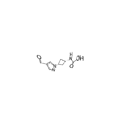 O=Cc1cnn([C@H]2C[C@@H](NC(=O)O)C2)c1